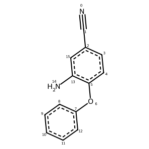 N#Cc1ccc(Oc2ccccc2)c(N)c1